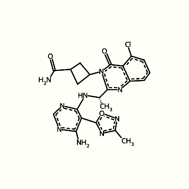 Cc1noc(-c2c(N)ncnc2N[C@@H](C)c2nc3cccc(Cl)c3c(=O)n2C2CC(C(N)=O)C2)n1